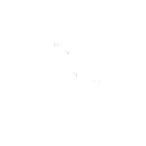 Cl.ON=Cc1nc(CCc2ccccc2)cs1